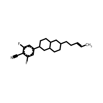 CC=CCCC1CCC2CC(c3cc(F)c(C#N)c(F)c3)CCC2C1